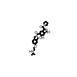 CC(C)NCCOc1ccc2c(c1)CN(C(=O)c1cc3c(C(=O)N4CCCC4)n[nH]c3cc1O)C2